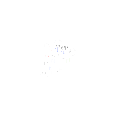 COc1cccc(F)c1-c1nc2c(cc1F)c1c(c(=O)n2-c2c(C)ccnc2C(C)C)OC[C@H]2CN(C(=O)O)[C@H](C)CN12